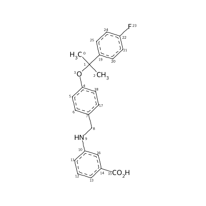 CC(C)(Oc1ccc(CNc2cccc(C(=O)O)c2)cc1)c1ccc(F)cc1